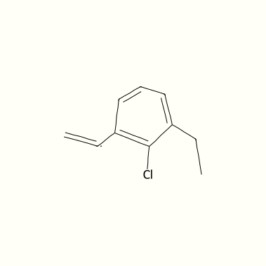 C=[C]c1cccc(CC)c1Cl